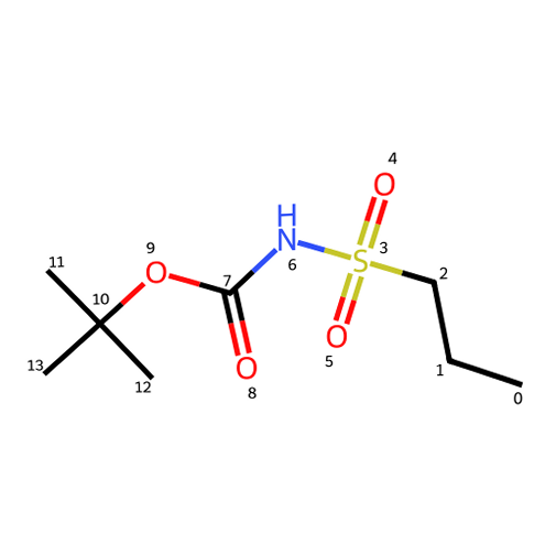 CCCS(=O)(=O)NC(=O)OC(C)(C)C